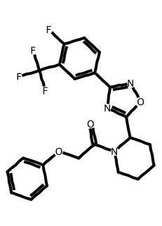 O=C(COc1ccccc1)N1CCCCC1c1nc(-c2ccc(F)c(C(F)(F)F)c2)no1